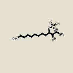 CCCCCCCCCCCCCCCCCCC(OP(=O)(O)O)C(O)CN